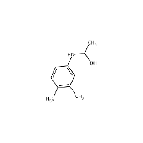 Cc1ccc(NC(C)O)cc1C